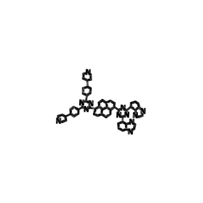 c1cc(-c2nc(-c3ccc4ccc5c(-c6nc(-c7ccc(-c8ccncc8)cc7)nc(-c7ccc(-c8ccncc8)cc7)n6)ccc6ccc3c4c65)nc(-c3cccc4nccnc34)n2)c2nccnc2c1